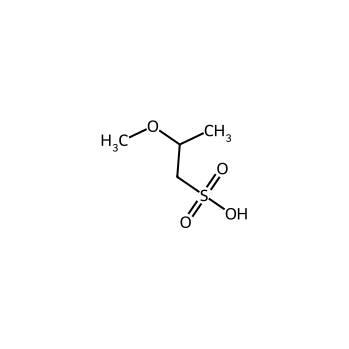 COC(C)CS(=O)(=O)O